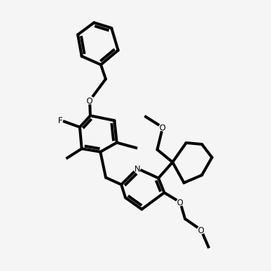 COCOc1ccc(Cc2c(C)cc(OCc3ccccc3)c(F)c2C)nc1C1(COC)CCCCC1